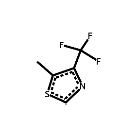 Cc1s[c]nc1C(F)(F)F